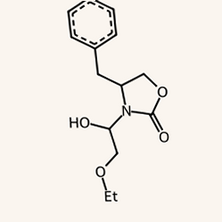 CCOCC(O)N1C(=O)OCC1Cc1ccccc1